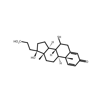 C[C@]12C=CC(=O)C=C1CC(S)[C@@H]1[C@@H]2CC[C@@]2(C)[C@H]1CC[C@@]2(O)CCC(=O)O